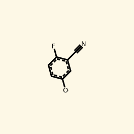 N#Cc1cc([O])ccc1F